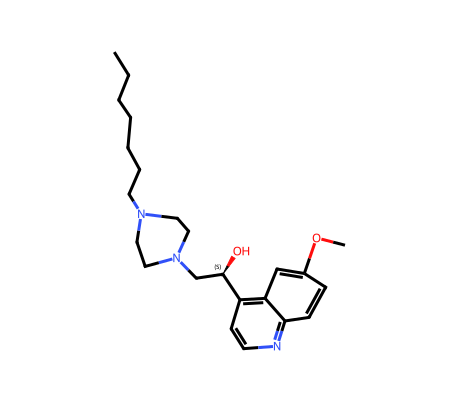 CCCCCCCN1CCN(C[C@@H](O)c2ccnc3ccc(OC)cc23)CC1